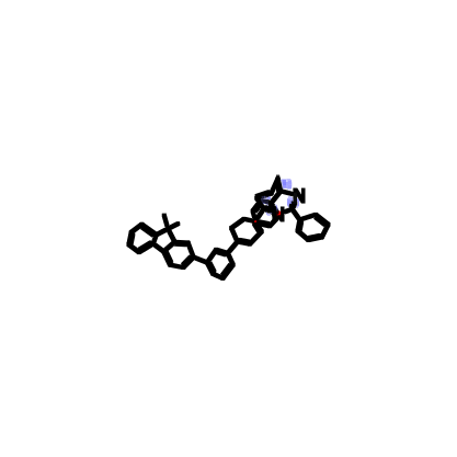 CC1(C)c2ccccc2-c2ccc(-c3cccc(C4=CC=C(C5=N/C(c6ccccc6)=N\C(c6ccccc6)=C\C=C\5)CC4)c3)cc21